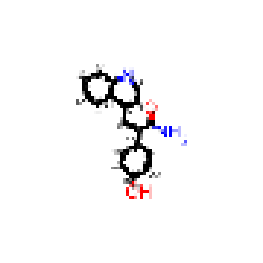 NC(=O)C(=Cc1ccnc2ccccc12)c1ccc(O)cc1